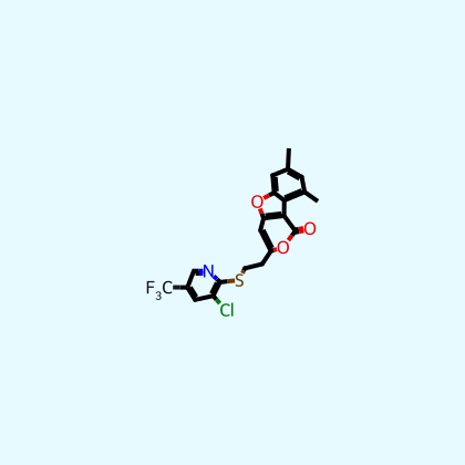 Cc1cc(C)c2c(c1)oc1cc(CCSc3ncc(C(F)(F)F)cc3Cl)oc(=O)c12